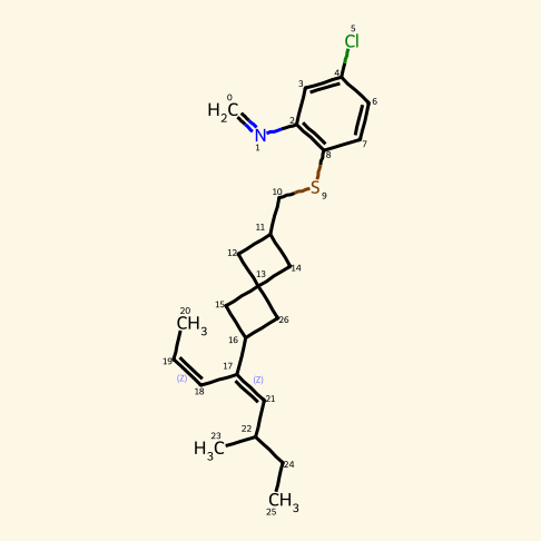 C=Nc1cc(Cl)ccc1SCC1CC2(C1)CC(C(/C=C\C)=C/C(C)CC)C2